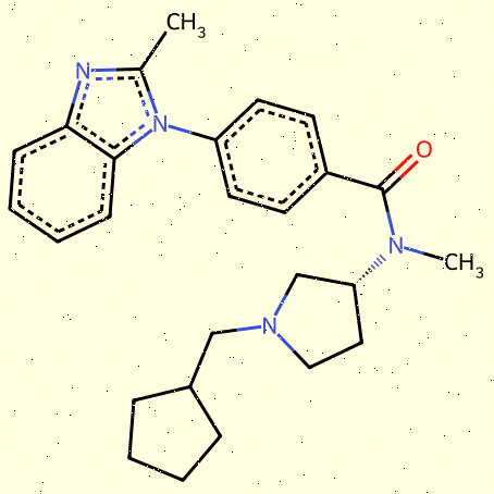 Cc1nc2ccccc2n1-c1ccc(C(=O)N(C)[C@@H]2CCN(CC3CCCC3)C2)cc1